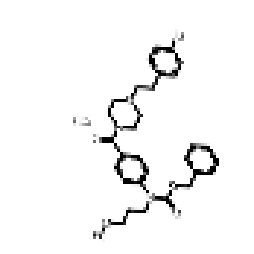 CCOCCCN(C(=O)OCc1ccccc1)c1ccc(C(=O)N2CCN(CCc3ccc(Cl)cc3)CC2)cc1.Cl